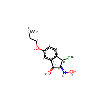 COCCOc1ccc2c(c1)C(=O)C(=NO)C2F